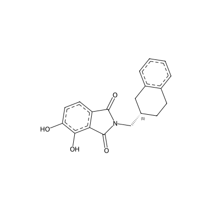 O=C1c2ccc(O)c(O)c2C(=O)N1C[C@H]1CCc2ccccc2C1